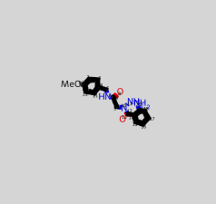 COc1ccc(CNC(=O)CN(N)C(=O)c2ccccc2N)cc1